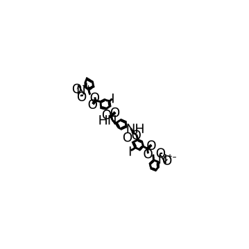 O=C(Nc1ccc(NC(=O)Oc2cc(I)cc(C(=O)OCc3ccccc3[N+](=O)[O-])c2)cc1)Oc1cc(I)cc(C(=O)OCc2ccccc2[N+](=O)[O-])c1